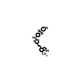 Cc1ccc(C=Cc2cnc(Nc3ccc(S(=O)(=O)C4CCNCC4)cc3)nc2)c2cc[nH]c12